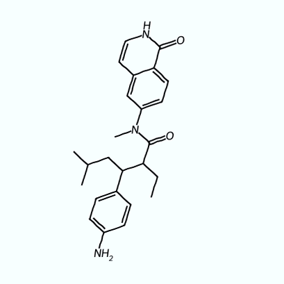 CCC(C(=O)N(C)c1ccc2c(=O)[nH]ccc2c1)C(CC(C)C)c1ccc(N)cc1